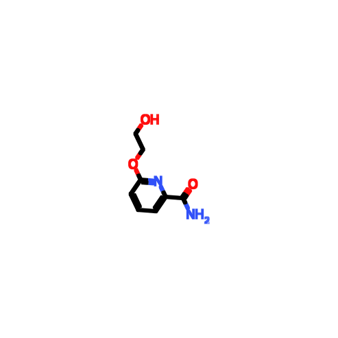 NC(=O)c1cccc(OCCO)n1